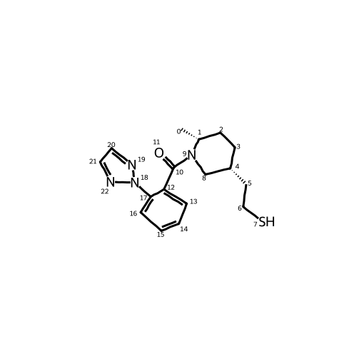 C[C@@H]1CC[C@H](CCS)CN1C(=O)c1ccccc1-n1nccn1